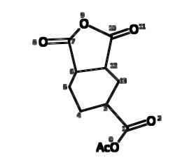 CC(=O)OC(=O)C1CCC2C(=O)OC(=O)C2C1